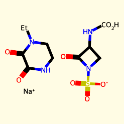 CCN1CCNC(=O)C1=O.O=C(O)NC1CN(S(=O)(=O)[O-])C1=O.[Na+]